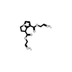 C=CCOC(=O)c1ccn2c1C(C(=O)OCC=C)CC2